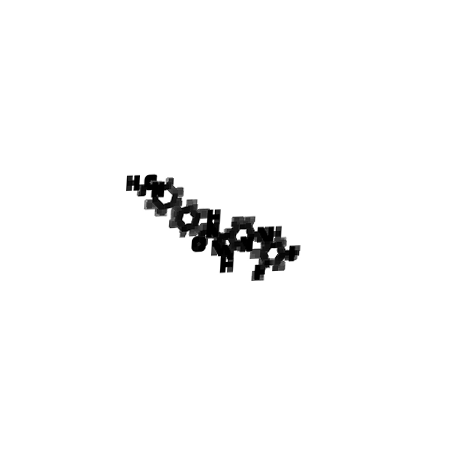 CN1CCC(c2ccc(C(=O)Nc3n[nH]c4nc(Nc5cc(F)cc(F)c5)ccc34)cc2)CC1